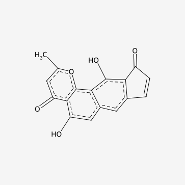 Cc1cc(=O)c2c(O)cc3cc4c(c(O)c3c2o1)C(=O)C=C4